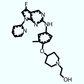 Cc1cc(Nc2ncc3c(F)cn(-c4ccccn4)c3n2)ccc1OC1CCN(CCO)CC1